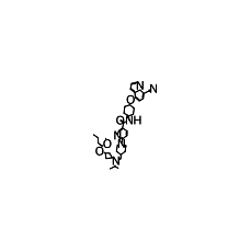 CCCC(OC)OC1CC(N(CC2CCN(c3ccc(C(=O)NC4CCC(Oc5ccc(C#N)c6ncccc56)CC4)cn3)CC2)C(C)C)C1